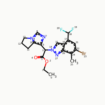 CCOC(=O)C(c1ncn2c1CCC2)n1cc2c(C(F)F)cc(Br)c(C)c2n1